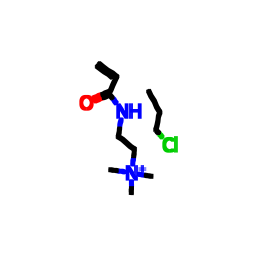 C=CC(=O)NCC[N+](C)(C)C.CCCCl